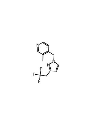 Cc1cnccc1Cn1ccc(CC(F)(F)F)n1